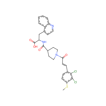 CSc1ccc(C=CC(=O)N2CCC(C(=O)NC(Cc3ccnc4ccccc34)C(=O)O)CC2)c(Cl)c1Cl